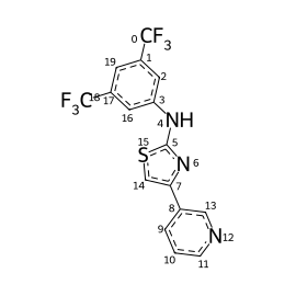 FC(F)(F)c1cc(Nc2nc(-c3cccnc3)cs2)cc(C(F)(F)F)c1